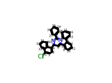 Clc1ccc(-c2cc(-c3ccccc3-c3ccccc3)nc(-c3ccccc3)n2)c2ccccc12